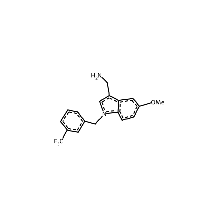 COc1ccc2c(c1)c(CN)cn2Cc1cccc(C(F)(F)F)c1